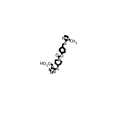 Cn1ccnc1SCc1ccc(OC(=O)N2CCC(Sc3nnnn3CC(=O)O)CC2)cc1